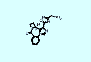 NCc1noc(-c2ncn3c2[C@@H]2CCN2C(=O)c2ccccc2-3)n1